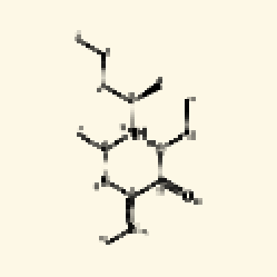 CCC[C@@H](C)NC(C)S/C(=N\C)C(=O)OCC